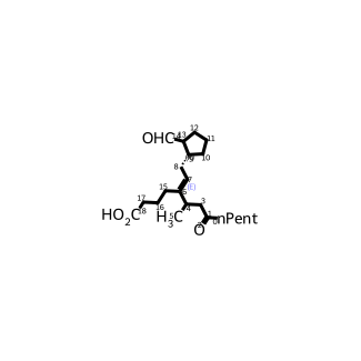 CCCCCC(=O)CC(C)/C(=C/C[C@H]1CCCC1C=O)CCCC(=O)O